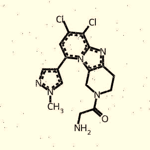 Cn1cc(-c2cc(Cl)c(Cl)c3nc4c(n23)CN(C(=O)CN)CC4)cn1